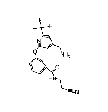 N#CCCNC(=O)c1cccc(Oc2cc(CN)cc(C(F)(F)F)n2)c1